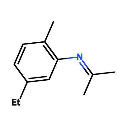 CCc1ccc(C)c(N=C(C)C)c1